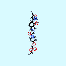 CCOC(=O)COC1CCN(C(=O)CN2C=C3C=CC(c4cc(C)on4)C(=O)C3C2)CC1